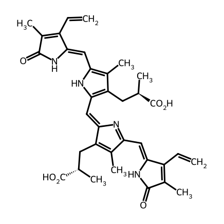 C=CC1=C(C)C(=O)N/C1=C\C1=NC(=Cc2[nH]c(/C=C3\NC(=O)C(C)=C3C=C)c(C)c2C[C@@H](C)C(=O)O)C(C[C@H](C)C(=O)O)=C1C